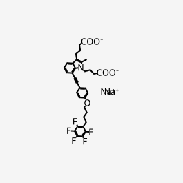 Cc1c(CCCC(=O)[O-])c2cccc(C#Cc3ccc(OCCCCc4c(F)c(F)c(F)c(F)c4F)cc3)c2n1CCCC(=O)[O-].[Na+].[Na+]